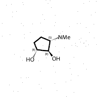 CN[C@H]1CC[C@@H](O)[C@@H]1O